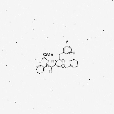 COC(=O)CN(C(=O)[C@H](COCc1ccccc1)NC(=O)Cc1cc(F)cc(F)c1)c1ccccc1